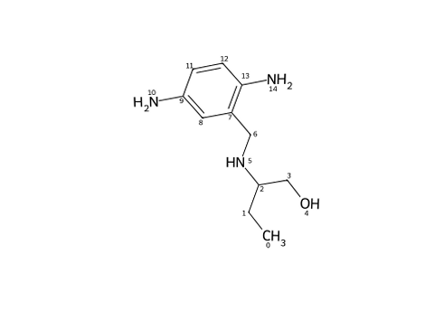 CCC(CO)NCc1cc(N)ccc1N